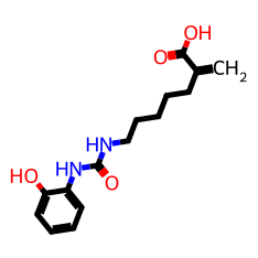 C=C(CCCCCNC(=O)Nc1ccccc1O)C(=O)O